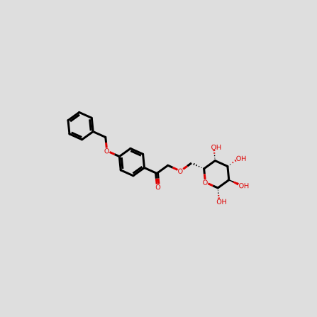 O=C(COC[C@H]1O[C@@H](O)[C@H](O)[C@@H](O)[C@H]1O)c1ccc(OCc2ccccc2)cc1